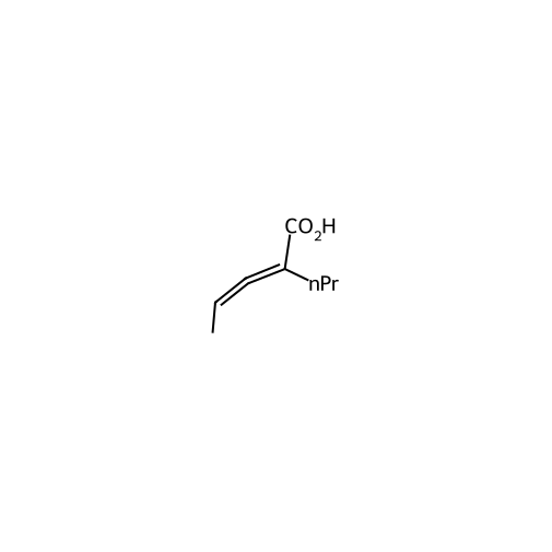 CC=C=C(CCC)C(=O)O